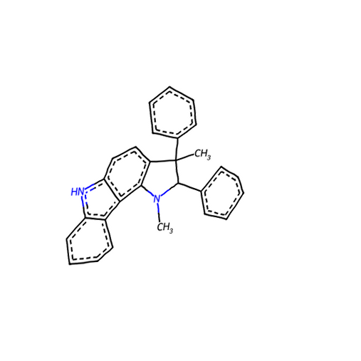 CN1c2c(ccc3[nH]c4ccccc4c23)C(C)(c2ccccc2)C1c1ccccc1